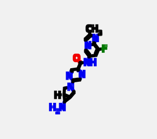 Cc1cn2cc(NC(=O)c3cnc(N4CC5C(N)[C@H]5C4)cn3)cc(F)c2n1